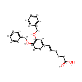 O=C(O)CCC/C=C/c1ccc(OCc2ccccc2)c(OCc2ccccc2)c1